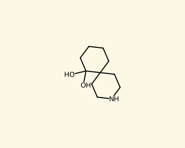 OC1(O)CCCCC12CCNCC2